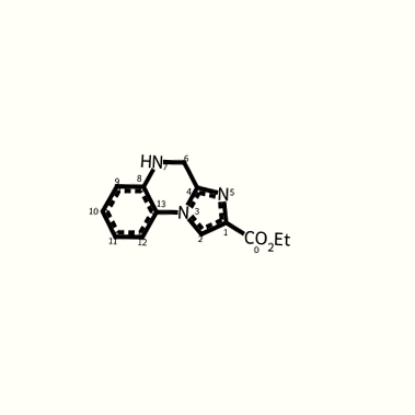 CCOC(=O)c1cn2c(n1)CNc1ccccc1-2